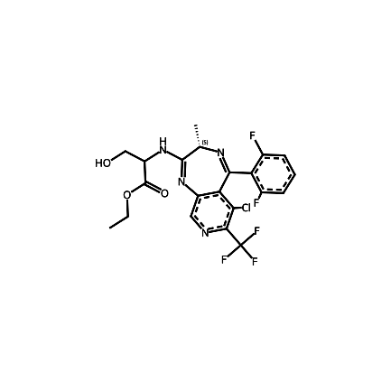 CCOC(=O)C(CO)NC1=Nc2cnc(C(F)(F)F)c(Cl)c2C(c2c(F)cccc2F)=N[C@H]1C